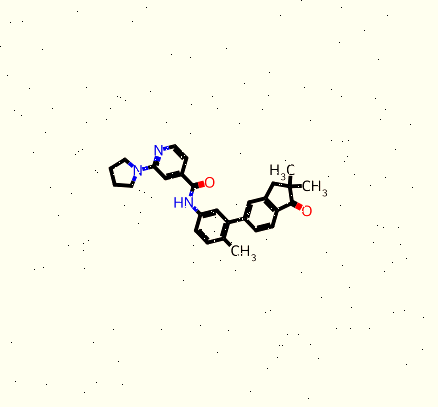 Cc1ccc(NC(=O)c2ccnc(N3CCCC3)c2)cc1-c1ccc2c(c1)CC(C)(C)C2=O